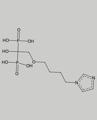 O=P(O)(O)C(O)(COCCCCn1ccnc1)P(=O)(O)O